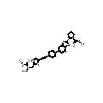 CCCCN(Cc1nc(C#Cc2ccc(-c3ccc4[nH]c([C@@H]5CCCN5C(=O)OC(C)(C)C)nc4c3)cc2)c[nH]1)C(=O)OC(C)(C)C